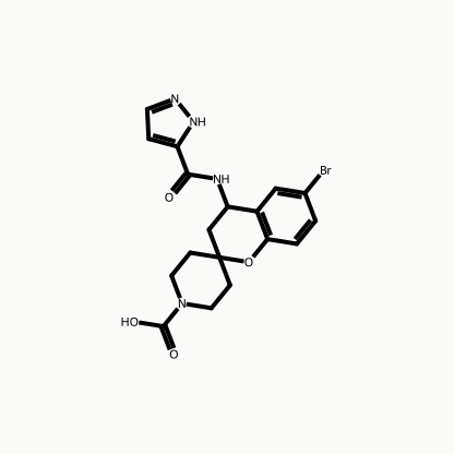 O=C(NC1CC2(CCN(C(=O)O)CC2)Oc2ccc(Br)cc21)c1ccn[nH]1